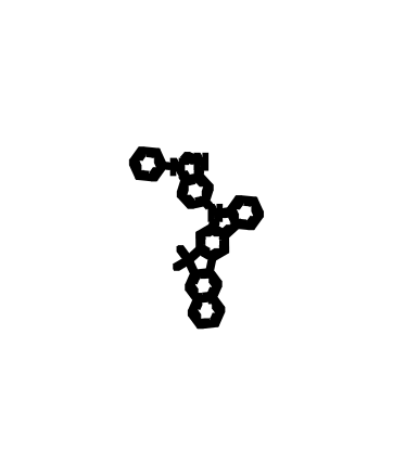 CC1(C)c2cc3ccccc3cc2-c2cc3c4ccccc4n(-c4ccc5c(c4)ncn5-c4ccccc4)c3cc21